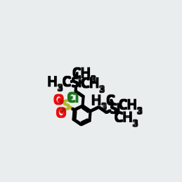 C[Si](C)(C)CCc1cccc(S(=O)(=O)Cl)c1CC[Si](C)(C)C